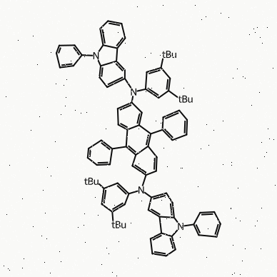 CC(C)(C)c1cc(N(c2ccc3c(-c4ccccc4)c4cc(N(c5cc(C(C)(C)C)cc(C(C)(C)C)c5)c5ccc6c(c5)c5ccccc5n6-c5ccccc5)ccc4c(-c4ccccc4)c3c2)c2ccc3c(c2)c2ccccc2n3-c2ccccc2)cc(C(C)(C)C)c1